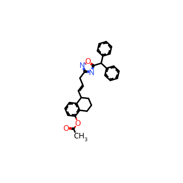 CC(=O)Oc1cccc2c1CCCC2C=CCc1noc(C(c2ccccc2)c2ccccc2)n1